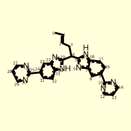 CC=CCC(c1nc2cc(-c3ncccn3)ccc2[nH]1)c1nc2cc(-c3ncccn3)ccc2[nH]1